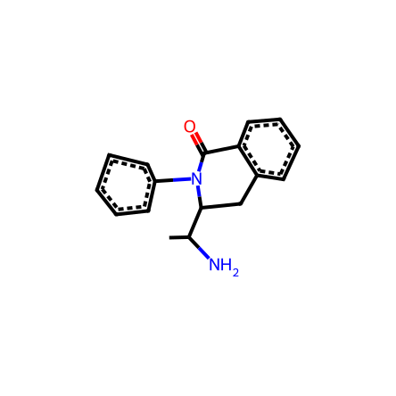 CC(N)C1Cc2ccccc2C(=O)N1c1ccccc1